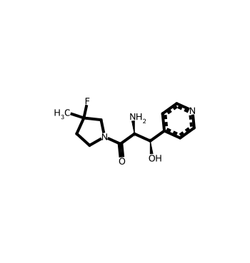 CC1(F)CCN(C(=O)[C@@H](N)[C@H](O)c2ccncc2)C1